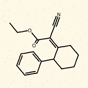 CCOC(=O)/C(C#N)=C1/CCCCC1c1ccccc1